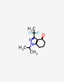 CC(C)n1nc(C(C)(F)F)c2c1CCCC2=O